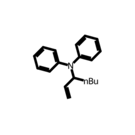 C=CC(CCCC)N(c1ccccc1)c1ccccc1